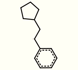 [CH](CC1CCCC1)c1ccccc1